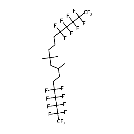 CC(CCC(F)(F)C(F)(F)C(F)(F)C(F)(F)C(F)(F)F)CC(C)(C)CCCC(F)(F)C(F)(F)C(F)(F)C(F)(F)C(F)(F)F